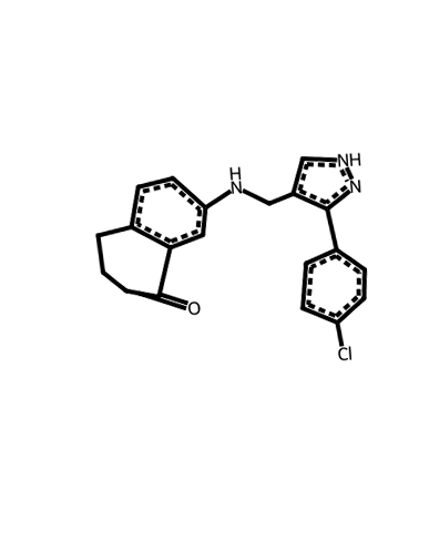 O=C1CCCc2ccc(NCc3c[nH]nc3-c3ccc(Cl)cc3)cc21